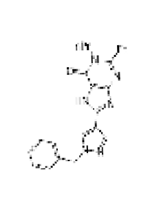 CCCn1c(CC)nc2nc(-c3cnn(Cc4ccccc4)c3)[nH]c2c1=O